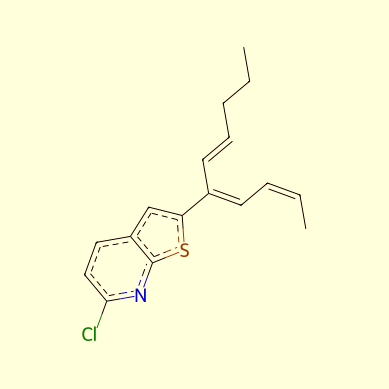 C\C=C/C=C(\C=C\CCC)c1cc2ccc(Cl)nc2s1